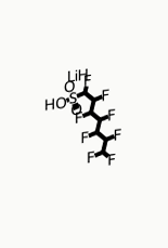 O=S(=O)(O)C(F)C(F)C(F)C(F)C(F)C(F)C(F)F.[LiH]